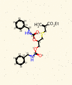 C=C(CSCC(COC(=O)NCc1ccccc1)OC(=O)NCc1ccccc1)C(=O)OCC